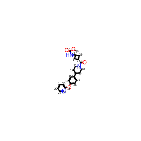 O=C1N[C@]2(CO1)C[C@H](C(=O)N1CCC(c3ccc(Oc4ccccn4)cc3)CC1)C2